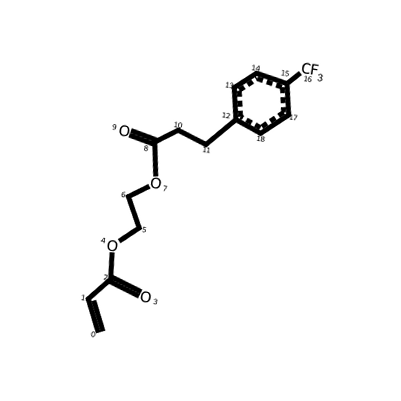 C=CC(=O)OCCOC(=O)CCc1ccc(C(F)(F)F)cc1